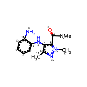 CNC(=O)c1c(Nc2ccccc2N)c(C)nn1C